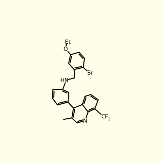 CCOc1ccc(Br)c(CNc2cccc(-c3c(C)cnc4c(C(F)(F)F)cccc34)c2)c1